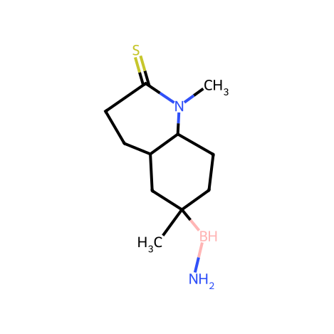 CN1C(=S)CCC2CC(C)(BN)CCC21